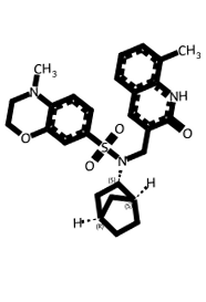 Cc1cccc2cc(CN([C@H]3C[C@@H]4CC[C@H]3C4)S(=O)(=O)c3ccc4c(c3)OCCN4C)c(=O)[nH]c12